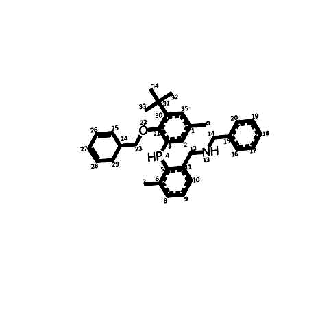 Cc1cc(Pc2c(C)cccc2CNCc2ccccc2)c(OCC2C=CC=CC2)c(C(C)(C)C)c1